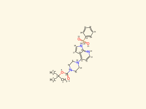 CC(C)(C)OC(=O)N1CCN(c2ccnc3c2ccn3S(=O)(=O)c2ccccc2)CC1